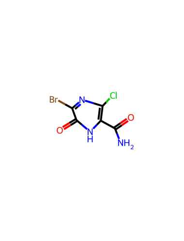 NC(=O)c1[nH]c(=O)c(Br)nc1Cl